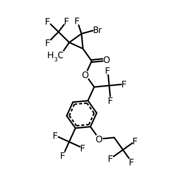 CC1(C(F)(F)F)C(C(=O)OC(c2ccc(C(F)(F)F)c(OCC(F)(F)F)c2)C(F)(F)F)C1(F)Br